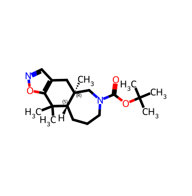 CC(C)(C)OC(=O)N1CCC[C@@H]2C(C)(C)c3oncc3C[C@@]2(C)C1